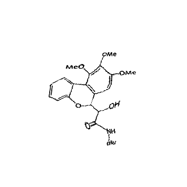 COc1cc2c(c(OC)c1OC)-c1ccccc1OC2C(O)C(=O)NC(C)(C)C